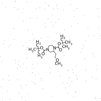 COCCC1CN(C(=O)OC(C)(C)C)CCN1C(=O)OC(C)(C)C